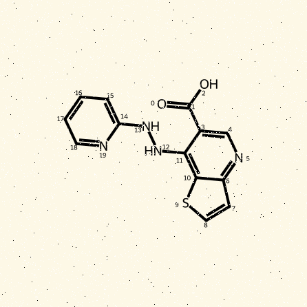 O=C(O)c1cnc2ccsc2c1NNc1ccccn1